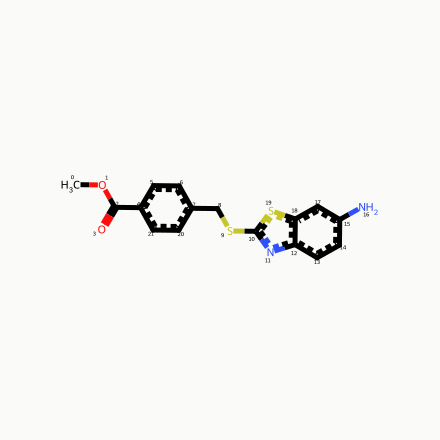 COC(=O)c1ccc(CSc2nc3ccc(N)cc3s2)cc1